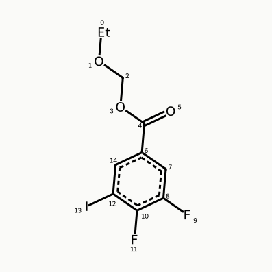 CCOCOC(=O)c1cc(F)c(F)c(I)c1